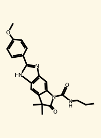 CCCNC(=O)N1C(=O)C(C)(C)c2cc3[nH]c(-c4ccc(OC)cc4)nc3cc21